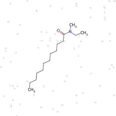 CCCCCCCCCC[CH]C(=O)N(C)CC